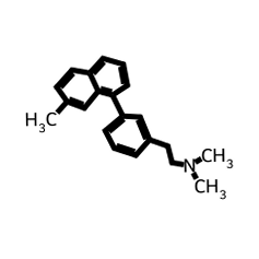 Cc1ccc2cccc(-c3cccc(CCN(C)C)c3)c2c1